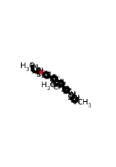 Cc1ccc2sc(-c3ccc(-c4ccc5c(c4)C(C)(C)c4cc(-c6ccc(-c7nc8nc(C)ccc8s7)cc6)ccc4-5)cc3)nc2n1